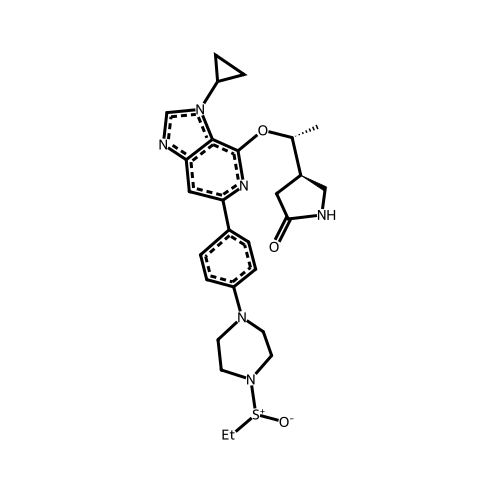 CC[S+]([O-])N1CCN(c2ccc(-c3cc4ncn(C5CC5)c4c(O[C@H](C)[C@H]4CNC(=O)C4)n3)cc2)CC1